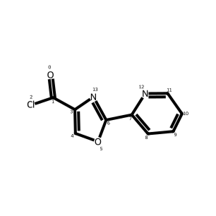 O=C(Cl)c1coc(-c2ccccn2)n1